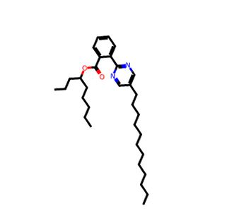 CCCCCCCCCCCCc1cnc(-c2ccccc2C(=O)OC(CCC)CCCCC)nc1